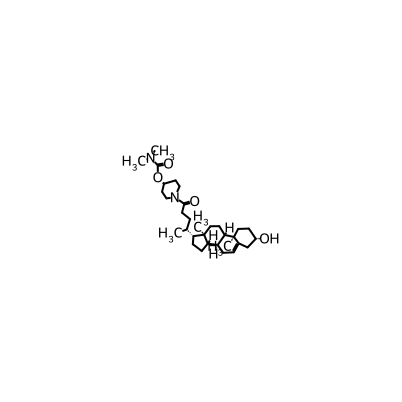 CC(CCC(=O)N1CCC(OC(=O)N(C)C)CC1)[C@H]1CC[C@H]2[C@@H]3CC=C4C[C@@H](O)CC[C@]4(C)[C@H]3CC[C@]12C